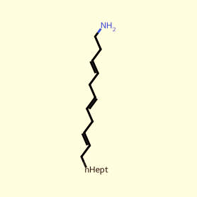 CCCCCCCCC=CCC=CCC=CCCN